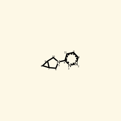 c1cnnc(N2CC3CC3C2)c1